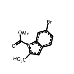 COC(=O)n1c(C(=O)O)cc2ccc(Br)cc21